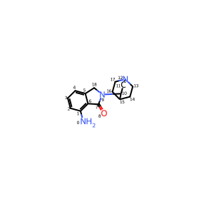 Nc1cccc2c1C(=O)N(C1CN3CCC1CC3)C2